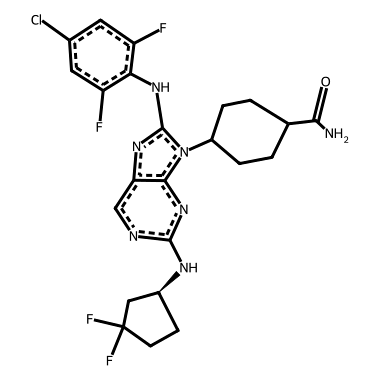 NC(=O)C1CCC(n2c(Nc3c(F)cc(Cl)cc3F)nc3cnc(N[C@H]4CCC(F)(F)C4)nc32)CC1